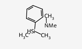 CNC.C[SiH](C)c1ccccc1